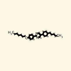 CCCCCCCOc1ccc(-c2ncc(C3CCC(CCCCC)CC3)cn2)cc1